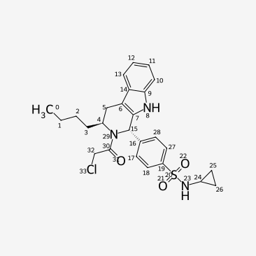 CCCC[C@H]1Cc2c([nH]c3ccccc23)[C@H](c2ccc(S(=O)(=O)NC3CC3)cc2)N1C(=O)CCl